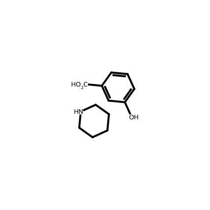 C1CCNCC1.O=C(O)c1cccc(O)c1